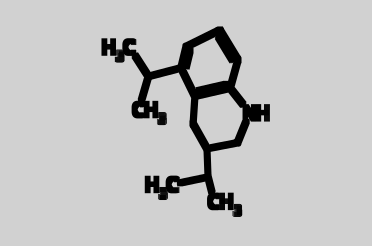 CC(C)c1cccc2c1CC(C(C)C)CN2